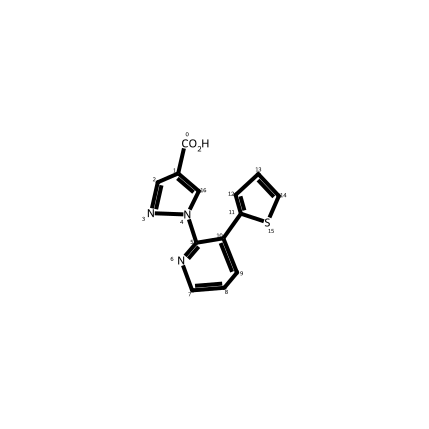 O=C(O)c1cnn(-c2ncccc2-c2cccs2)c1